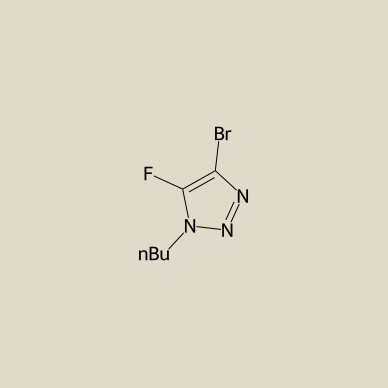 CCCCn1nnc(Br)c1F